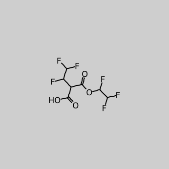 O=C(O)C(C(=O)OC(F)C(F)F)C(F)C(F)F